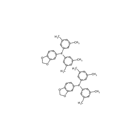 Cc1cc(C)cc(P(c2cc(C)cc(C)c2)c2ccc3c(c2)OCO3)c1.Cc1cc(C)cc(P(c2cc(C)cc(C)c2)c2ccc3c(c2)OCO3)c1